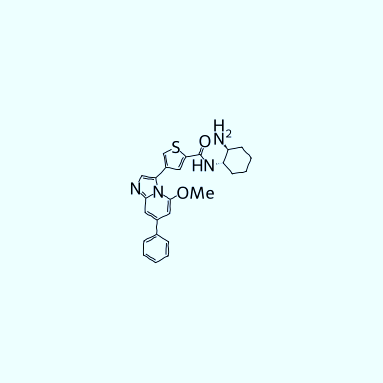 COc1cc(-c2ccccc2)cc2ncc(-c3csc(C(=O)N[C@H]4CCCC[C@@H]4N)c3)n12